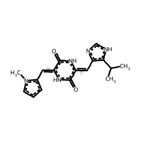 CC(C)c1[nH]cnc1/C=c1\[nH]c(=O)/c(=C/c2cccn2C)[nH]c1=O